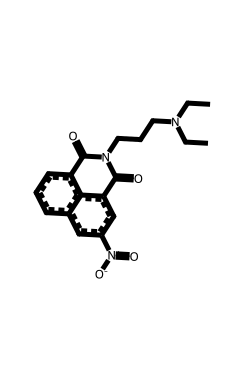 CCN(CC)CCCN1C(=O)c2cccc3cc([N+](=O)[O-])cc(c23)C1=O